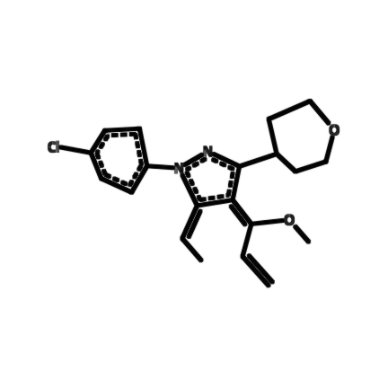 C=C/C(OC)=c1/c(C2CCOCC2)nn(-c2ccc(Cl)cc2)/c1=C/C